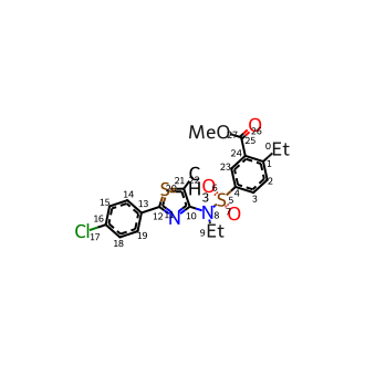 CCc1ccc(S(=O)(=O)N(CC)c2nc(-c3ccc(Cl)cc3)sc2C)cc1C(=O)OC